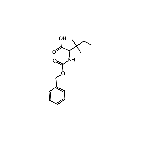 CCC(C)(C)C(NC(=O)OCc1ccccc1)C(=O)O